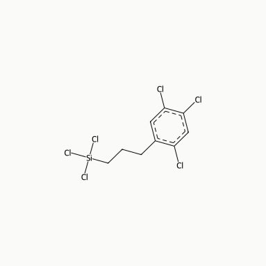 Clc1cc(Cl)c(CCC[Si](Cl)(Cl)Cl)cc1Cl